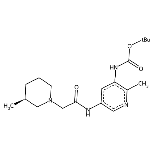 Cc1ncc(NC(=O)CN2CCC[C@H](C)C2)cc1NC(=O)OC(C)(C)C